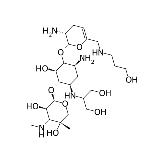 CN[C@@H]1[C@@H](O)[C@@H](O[C@H]2[C@H](NC(CO)CO)C[C@H](N)C(O[C@H]3OC(CNCCCO)=CC[C@H]3N)[C@@H]2O)OC[C@]1(C)O